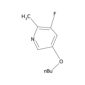 CCCCOc1cnc(C)c(F)c1